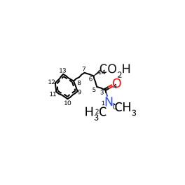 CN(C)C(=O)C[C@@H](Cc1ccccc1)C(=O)O